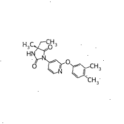 CC[C@@]1(C)NC(=O)N(c2ccnc(Oc3ccc(C)c(C)c3)c2)C1=O